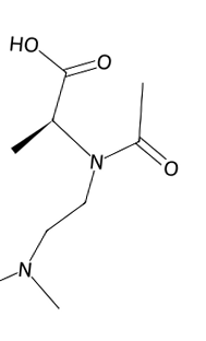 CC(=O)N(CCN(C)C)[C@@H](C)C(=O)O